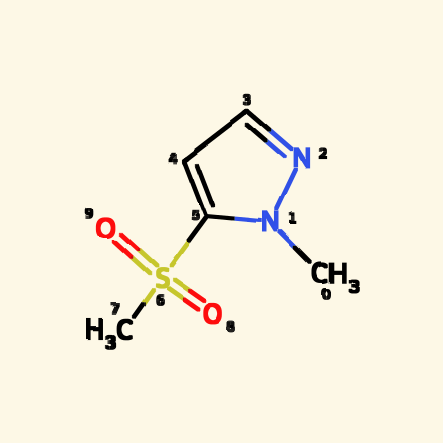 Cn1nccc1S(C)(=O)=O